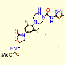 COC(=S)NC[C@H]1CN(c2cc(F)c(N3CCNN(C(=O)Nc4nncs4)CC3)c(F)c2)C(=O)O1